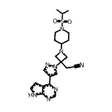 CC(C)S(=O)(=O)N1CCC(N2CC(CC#N)(n3cc(-c4ncnc5[nH]ccc45)cn3)C2)CC1